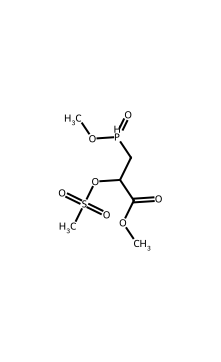 COC(=O)C(C[PH](=O)OC)OS(C)(=O)=O